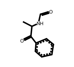 CC(NC=O)C(=O)c1ccccc1